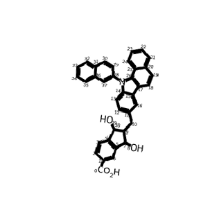 O=C(O)c1ccc2c(c1)C(O)C(Cc1ccc3c(c1)c1ccc4ccccc4c1n3-c1ccc3ccccc3c1)C2O